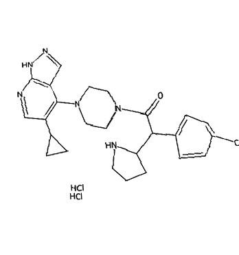 Cl.Cl.O=C(C(c1ccc(Cl)cc1)C1CCCN1)N1CCN(c2c(C3CC3)cnc3[nH]ncc23)CC1